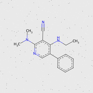 CCNc1c(-c2ccccc2)cnc(N(C)C)c1C#N